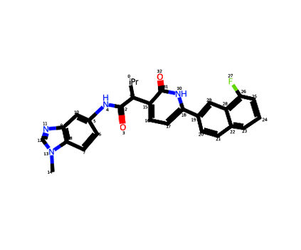 CC(C)C(C(=O)Nc1ccc2c(c1)ncn2C)c1ccc(-c2ccc3cccc(F)c3c2)[nH]c1=O